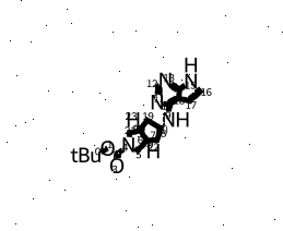 CC(C)(C)OC(=O)N1C[C@H]2C[C@@H](Nc3ncnc4[nH]ccc34)C[C@H]2C1